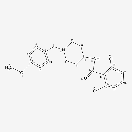 COc1ccc(CN2CCC(NC(=O)c3c(Cl)cccc3Cl)CC2)cc1